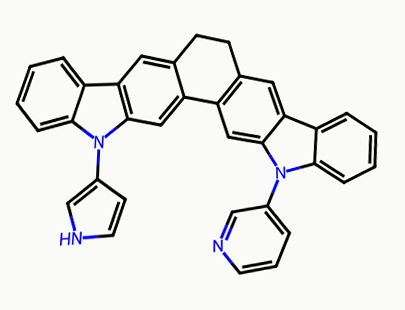 c1cncc(-n2c3ccccc3c3cc4c(cc32)-c2cc3c(cc2CC4)c2ccccc2n3-c2cc[nH]c2)c1